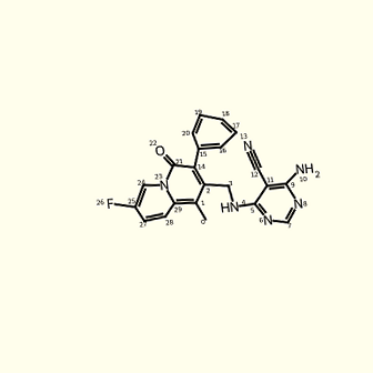 Cc1c(CNc2ncnc(N)c2C#N)c(-c2ccccc2)c(=O)n2cc(F)ccc12